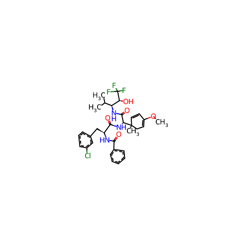 COC1=CCC(C)([C@H](NC(=O)[C@H](Cc2cccc(Cl)c2)NC(=O)c2ccccc2)C(=O)N[C@@H](C(C)C)[C@H](O)C(F)(F)F)C=C1